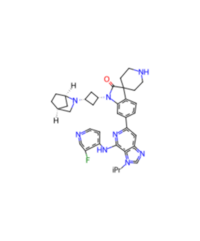 CC(C)n1cnc2cc(-c3ccc4c(c3)N([C@H]3C[C@@H](N5C[C@H]6CC[C@@H]5C6)C3)C(=O)C43CCNCC3)nc(Nc3ccncc3F)c21